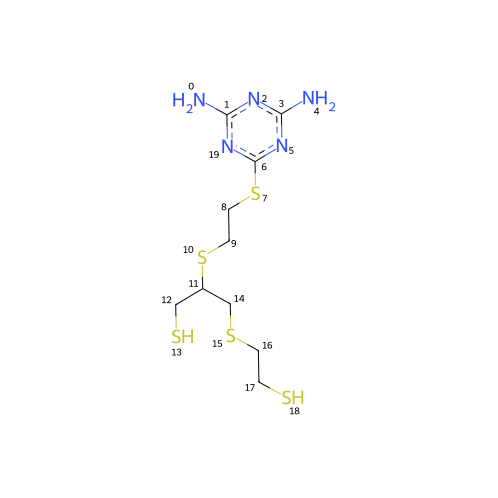 Nc1nc(N)nc(SCCSC(CS)CSCCS)n1